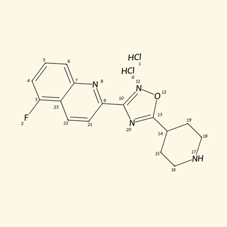 Cl.Cl.Fc1cccc2nc(-c3noc(C4CCNCC4)n3)ccc12